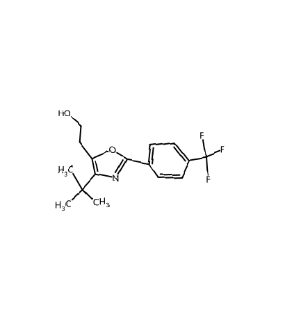 CC(C)(C)c1nc(-c2ccc(C(F)(F)F)cc2)oc1CCO